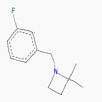 CC1(C)CCN1Cc1[c]c(F)ccc1